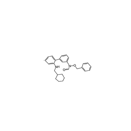 O=CN(OCc1ccccc1)c1cccc(-c2cc[c]cc2NCC2CCCCC2)c1